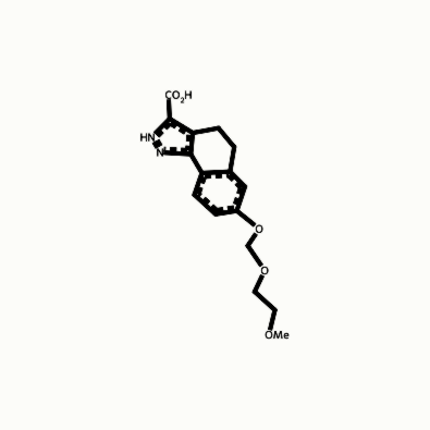 COCCOCOc1ccc2c(c1)CCc1c-2n[nH]c1C(=O)O